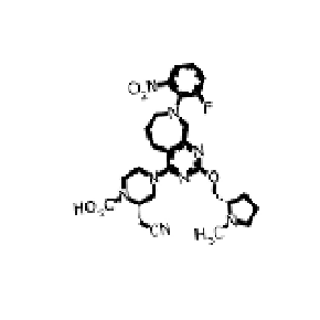 CN1CCC[C@H]1COc1nc2c(c(N3CCN(C(=O)O)[C@@H](CC#N)C3)n1)CCCN(c1c(F)cccc1[N+](=O)[O-])C2